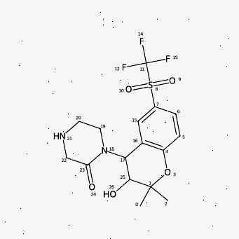 CC1(C)Oc2ccc(S(=O)(=O)C(F)(F)F)cc2C(N2CCNCC2=O)C1O